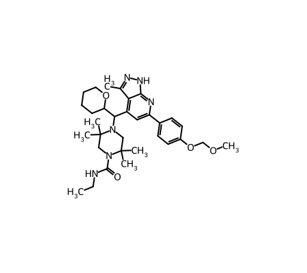 CCNC(=O)N1CC(C)(C)N(C(c2cc(-c3ccc(OCOC)cc3)nc3[nH]nc(C)c23)C2CCCCO2)CC1(C)C